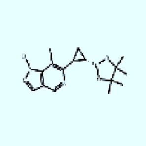 CCn1ncc2cnc(C3C[C@@H]3B3OC(C)(C)C(C)(C)O3)c(F)c21